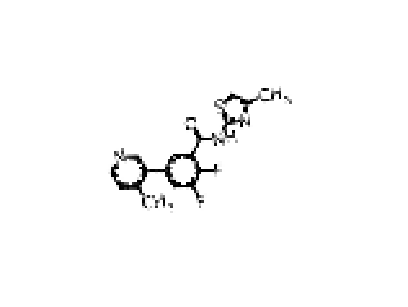 Cc1csc(NC(=O)c2cc(-c3cnccc3C)cc(F)c2F)n1